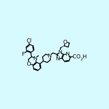 CN1c2c(cccc2C2CCN(Cc3nc4ccc(C(=O)O)nc4n3C[C@@H]3CCO3)CC2)OCC1c1ccc(Cl)cc1F